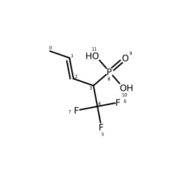 CC=CC(C(F)(F)F)P(=O)(O)O